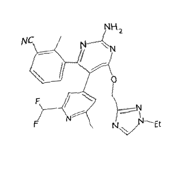 CCn1cnc(COc2nc(N)nc(-c3cccc(C#N)c3C)c2-c2cc(C)nc(C(F)F)c2)n1